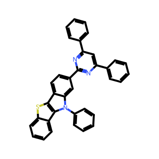 c1ccc(-c2cc(-c3ccccc3)nc(-c3ccc4c5sc6ccccc6c5n(-c5ccccc5)c4c3)n2)cc1